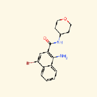 Nc1c(C(=O)NC2CCOCC2)cc(Br)c2ccccc12